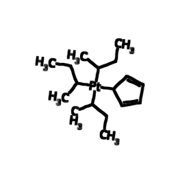 CC[CH](C)[Pt]([CH]1C=CC=C1)([CH](C)CC)[CH](C)CC